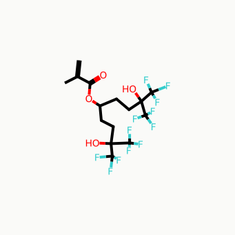 C=C(C)C(=O)OC(CCC(O)(C(F)(F)F)C(F)(F)F)CCC(O)(C(F)(F)F)C(F)(F)F